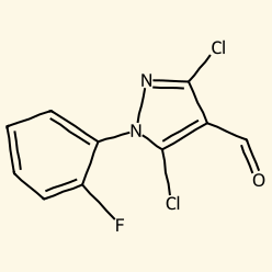 O=Cc1c(Cl)nn(-c2ccccc2F)c1Cl